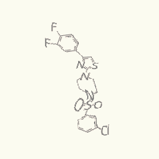 O=S(=O)(c1cccc(Cl)c1)N1CCN(c2nc(-c3ccc(F)c(F)c3)cs2)CC1